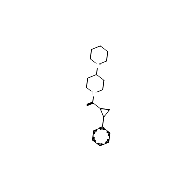 O=C(C1CC1c1ccccc1)N1CCC(N2CCCCC2)CC1